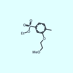 CCOS(=O)(=O)c1ccc(C)c(OCCOC)c1